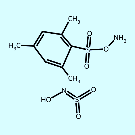 Cc1cc(C)c(S(=O)(=O)ON)c(C)c1.O=S(=O)=NO